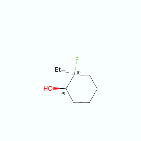 CC[C@]1(F)CCCC[C@H]1O